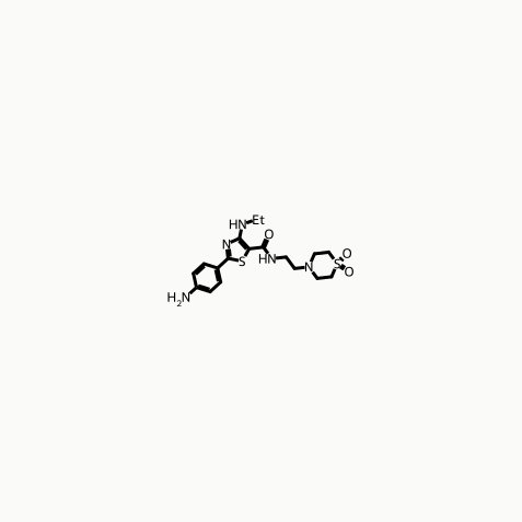 CCNc1nc(-c2ccc(N)cc2)sc1C(=O)NCCN1CCS(=O)(=O)CC1